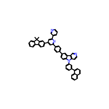 CC1(C)c2ccccc2-c2ccc(-c3cc(-c4ccc(-c5ccc6c(c5)c5cnccc5n6-c5cccc(-c6cccc7ccccc67)c5)cc4)nc(-c4cccnc4)c3)cc21